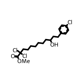 COC(=O)C(Cl)(Cl)CCCCCCCC(O)CCc1ccc(Cl)cc1